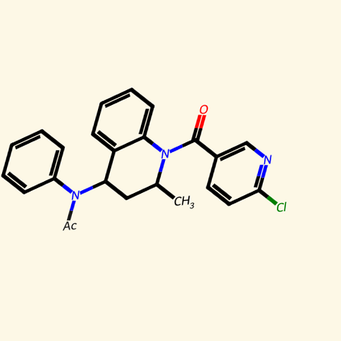 CC(=O)N(c1ccccc1)C1CC(C)N(C(=O)c2ccc(Cl)nc2)c2ccccc21